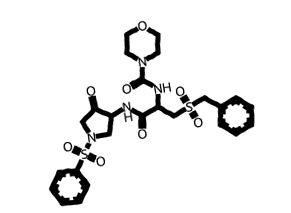 O=C1CN(S(=O)(=O)c2ccccc2)CC1NC(=O)C(CS(=O)(=O)Cc1ccccc1)NC(=O)N1CCOCC1